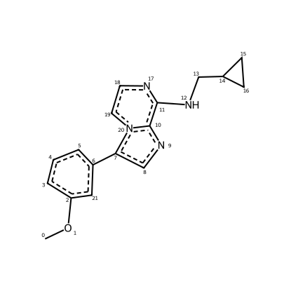 COc1cccc(-c2cnc3c(NCC4CC4)nccn23)c1